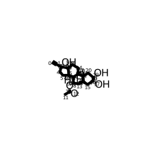 C#C[C@]1(O)CC[C@H]2[C@@H]3[C@@H](OC(C)=O)C=C4C[C@@H](O)[C@H](O)C[C@]4(C)[C@H]3CC[C@@]21C